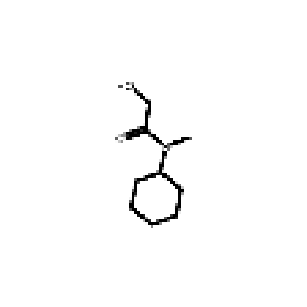 CN(C(=O)CO)C1CCCCC1